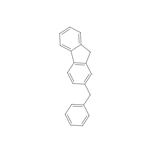 [c]1c(Cc2ccccc2)ccc2c1Cc1ccccc1-2